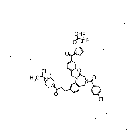 CC(C)N1CCN(C(=O)CCc2ccc3c(c2)N(Cc2ccc(C(=O)N4CC=CC4)cc2)C(=O)CN(C(=O)c2ccc(Cl)cc2)C3)CC1.O=C(O)C(F)(F)F